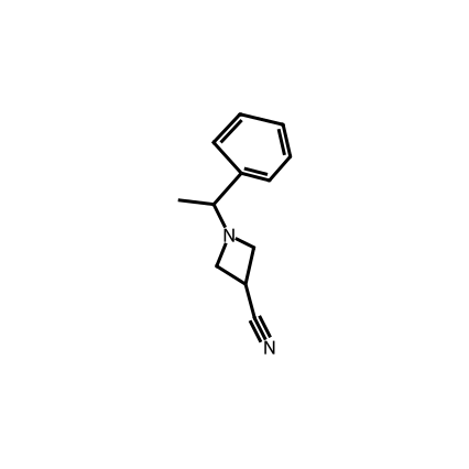 CC(c1ccccc1)N1CC(C#N)C1